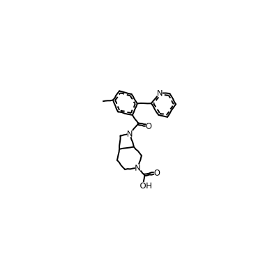 Cc1ccc(-c2ccccn2)c(C(=O)N2CC3CCN(C(=O)O)CC32)c1